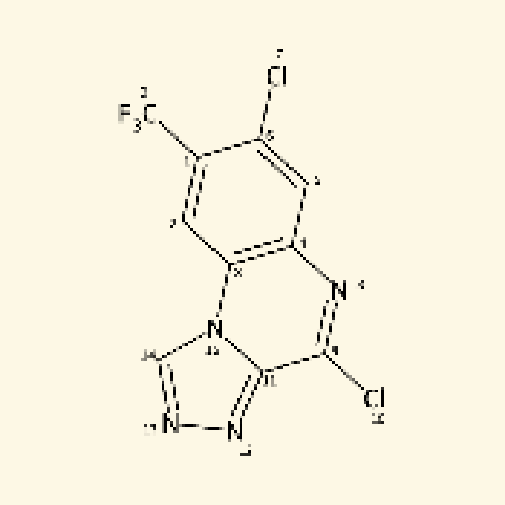 FC(F)(F)c1cc2c(cc1Cl)nc(Cl)c1nncn12